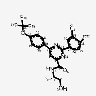 C[C@@H](CO)NC(=O)c1cc(-c2ccc(OC(F)(F)F)cc2)nc(-c2ccc(F)c(Cl)c2)n1